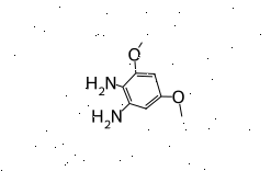 COc1cc(N)c(N)c(OC)c1